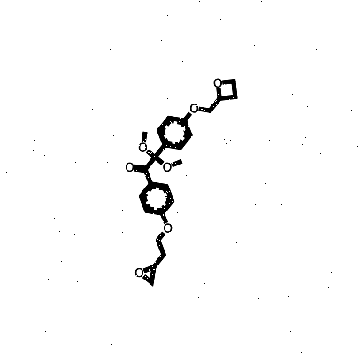 COC(OC)(C(=O)c1ccc(OCCC2CO2)cc1)c1ccc(OCC2CCO2)cc1